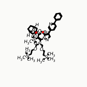 CC(C)(C)OC(=O)N1[C@@H]2CC[C@H]1C[C@@H](c1nc3c(-c4ccc(-c5ccccc5)nc4)cnn3c(N(COCC[Si](C)(C)C)COCC[Si](C)(C)C)c1S(C)(=O)=O)C2